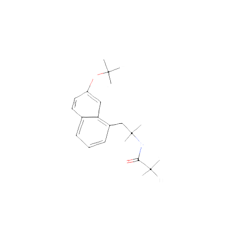 [2H]C([2H])(Cc1cccc2ccc(OC([2H])([2H])[2H])cc12)NC(=O)C([2H])([2H])[2H]